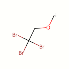 [C]OCC(Br)(Br)Br